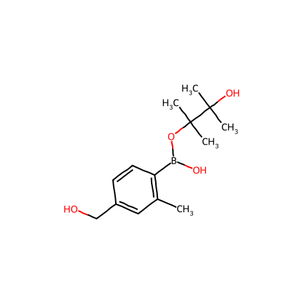 Cc1cc(CO)ccc1B(O)OC(C)(C)C(C)(C)O